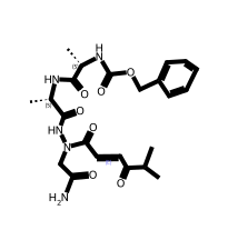 CC(C)C(=O)/C=C/C(=O)N(CC(N)=O)NC(=O)[C@H](C)NC(=O)[C@H](C)NC(=O)OCc1ccccc1